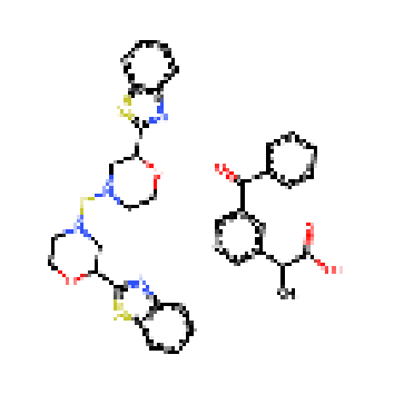 CC(C(=O)O)c1cccc(C(=O)c2ccccc2)c1.c1ccc2sc(C3CN(SN4CCOC(c5nc6ccccc6s5)C4)CCO3)nc2c1